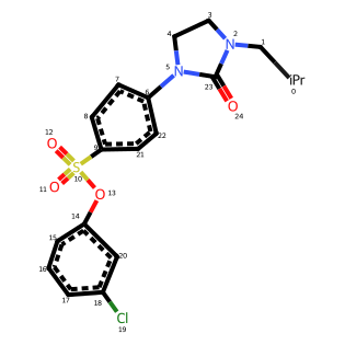 CC(C)CN1CCN(c2ccc(S(=O)(=O)Oc3cccc(Cl)c3)cc2)C1=O